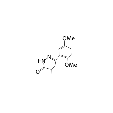 COc1ccc(OC)c(C2=NNC(=O)C(C)C2)c1